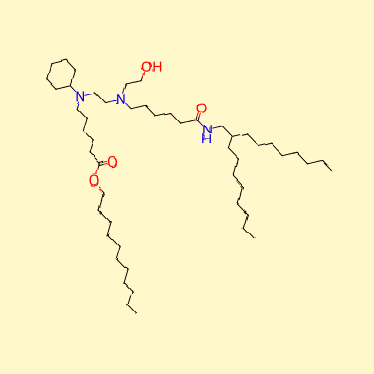 CCCCCCCCCCCOC(=O)CCCCCN(CCN(CCO)CCCCCC(=O)NCC(CCCCCCCC)CCCCCCCC)C1CCCCC1